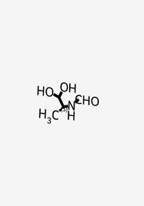 C[C@H](NC=O)C(O)O